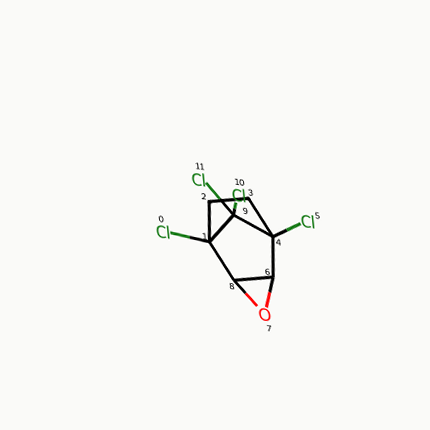 ClC12CCC(Cl)(C3OC31)C2(Cl)Cl